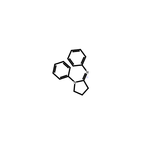 c1ccc(/N=C2/CCCN2c2ccccc2)cc1